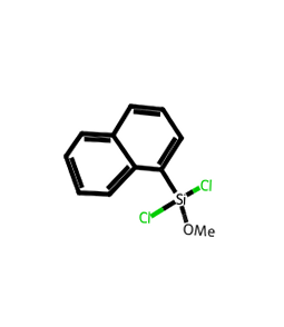 CO[Si](Cl)(Cl)c1cccc2ccccc12